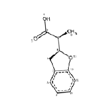 C[C@H](C(=O)O)[C@@H]1Cc2ccccc2O1